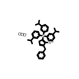 CC(C)c1cccc([Si](C2=[C]([Ti+3])C(Cc3ccccc3)=CC2)(c2cccc(C(C)C)c2)c2cccc(C(C)C)c2)c1.[Cl-].[Cl-].[Cl-]